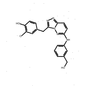 OCc1cccc(Nc2ccc3nnc(Cc4ccc(O)c(Cl)c4)n3n2)c1